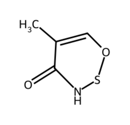 CC1=COSNC1=O